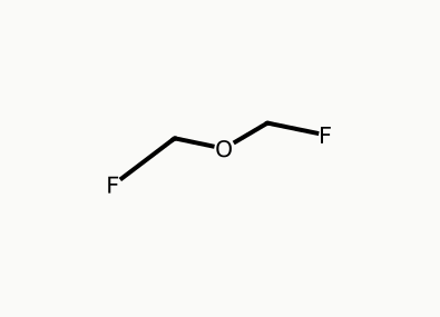 FCOCF